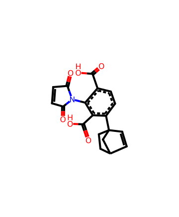 O=C(O)c1ccc(C23C=CC(CC2)C3)c(C(=O)O)c1N1C(=O)C=CC1=O